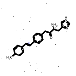 CC1C=CC(/C=C/c2ccc(CC(=O)[C@@H](N)Cc3c[nH]cn3)cc2)=CC1